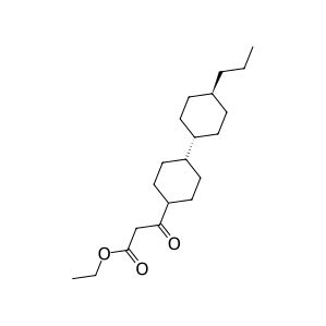 CCC[C@H]1CC[C@H](C2CCC(C(=O)CC(=O)OCC)CC2)CC1